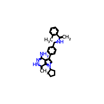 C=C(NCc1ccc(-c2cn(C3CCCC3)c3c2C(N)=NNC3=C)cc1)c1ccccc1C